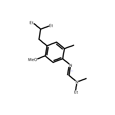 CCC(CC)Cc1cc(C)c(/N=C/N(C)CC)cc1OC